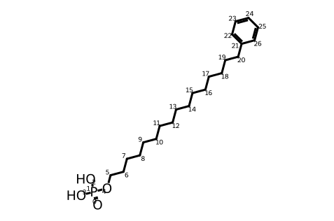 O=P(O)(O)OCCCCCCCCCCCCCCCCc1ccccc1